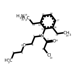 CCCOCCN(C(=O)CCl)c1c(CC)cccc1CC.N